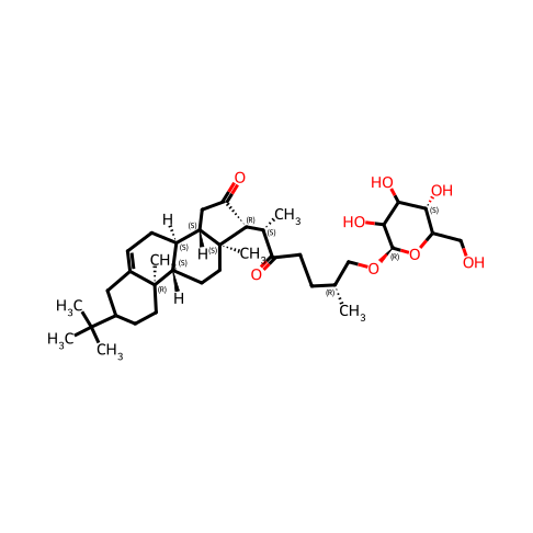 C[C@H](CCC(=O)[C@@H](C)[C@H]1C(=O)C[C@H]2[C@@H]3CC=C4CC(C(C)(C)C)CC[C@]4(C)[C@H]3CC[C@]12C)CO[C@@H]1OC(CO)[C@@H](O)C(O)C1O